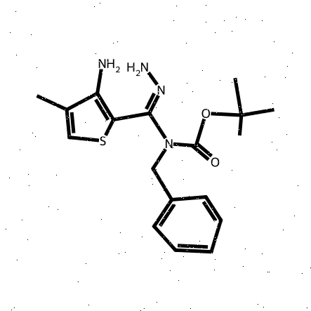 Cc1csc(/C(=N\N)N(Cc2ccccc2)C(=O)OC(C)(C)C)c1N